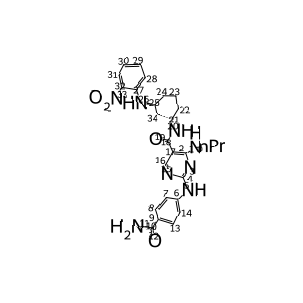 CCCNc1nc(Nc2ccc(C(N)=O)cc2)ncc1C(=O)N[C@H]1CCC[C@H](Nc2ccccc2[N+](=O)[O-])C1